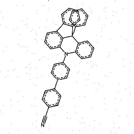 N#Cc1ccc(-c2ccc(N3c4ccccc4C4(c5ccccc5)c5ccccc5-c5cccc3c54)cc2)cc1